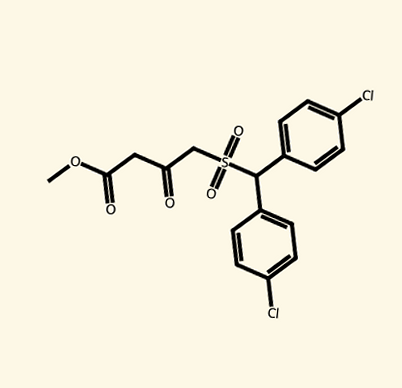 COC(=O)CC(=O)CS(=O)(=O)C(c1ccc(Cl)cc1)c1ccc(Cl)cc1